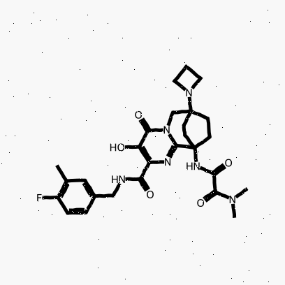 Cc1cc(CNC(=O)c2nc3n(c(=O)c2O)CC2(N4CCC4)CCC3(NC(=O)C(=O)N(C)C)CC2)ccc1F